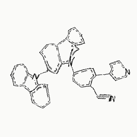 N#Cc1ccc(-n2c3ccccc3c3ccc(-n4c5ccccc5c5ccccc54)cc32)cc1-c1ccncc1